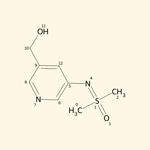 CS(C)(=O)=Nc1cncc(CO)c1